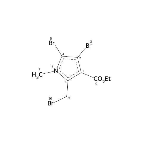 CCOC(=O)c1c(Br)c(Br)n(C)c1CBr